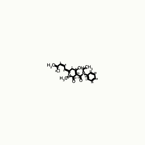 C=C(Cl)/C=C\C=C1/CC(O)=C(C(=O)N(CC)c2ccccc2)C(=O)N1C